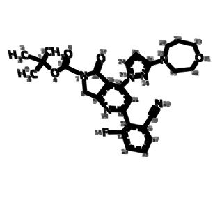 CC(C)(C)OC(=O)N1Cc2nc(-c3c(F)cccc3C#N)cc(-n3ccc(N4CCCOCC4)n3)c2C1=O